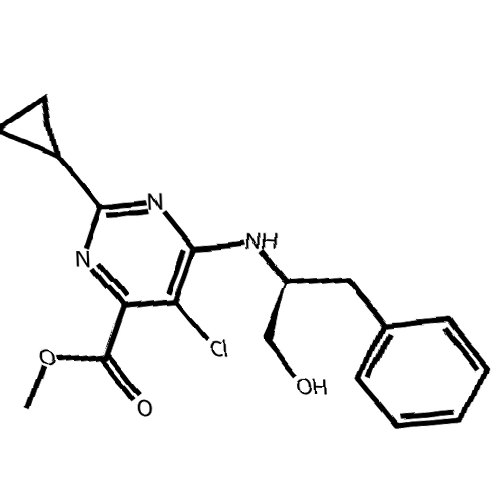 COC(=O)c1nc(C2CC2)nc(N[C@H](CO)Cc2ccccc2)c1Cl